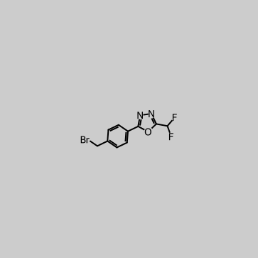 FC(F)c1nnc(-c2ccc(CBr)cc2)o1